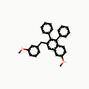 COc1cccc(Cc2cc3cc(OC)ccc3c(-c3ccccc3)c2-c2ccccc2)c1